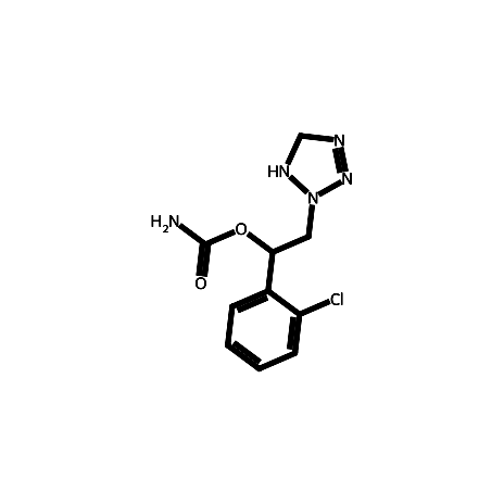 NC(=O)OC(CN1N=NCN1)c1ccccc1Cl